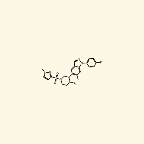 CC(=O)N1CCN(S(=O)(=O)c2cnn(C)n2)CC1c1cc2cnn(-c3ccc(F)cc3)c2cc1C